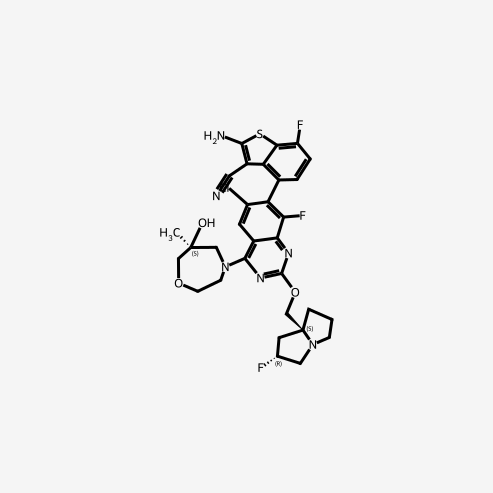 C[C@@]1(O)COCCN(c2nc(OC[C@@]34CCCN3C[C@H](F)C4)nc3c(F)c(-c4ccc(F)c5sc(N)c(C#N)c45)c(Cl)cc23)C1